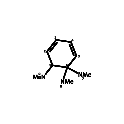 CNC1C=CC=CC1(NC)NC